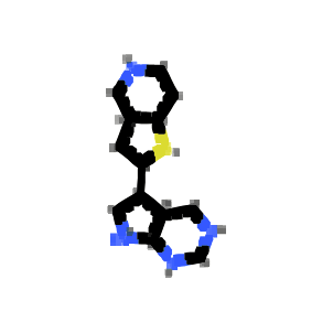 c1cc2sc(-c3c[nH]c4ncncc34)cc2cn1